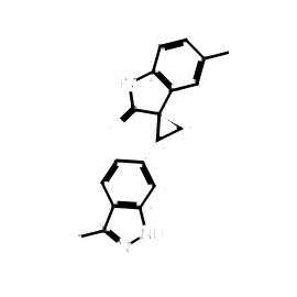 Cc1ccc2c(c1)[C@@]1(C[C@@H]1c1ccc3c(I)n[nH]c3c1)C(=O)N2